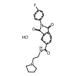 Cl.O=C(NCCN1CCCC1)c1ccc2c(c1)C(=O)N(c1ccc(F)cc1)C2=O